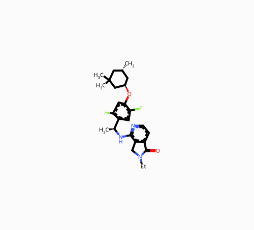 CCN1Cc2c(ccnc2N[C@@H](C)c2cc(F)c(O[C@@H]3C[C@@H](C)CC(C)(C)C3)cc2F)C1=O